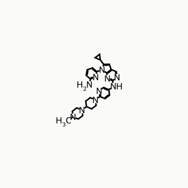 CN1CCN(C2CCN(c3ccc(Nc4ncc5cc(C6CC6)n(-c6cccc(N)n6)c5n4)cn3)CC2)CC1